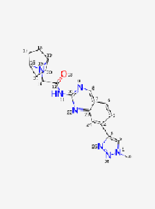 Cn1cc(-c2ccc3cnc(NC(=O)CN4C5CCC4CC5)nc3c2)nn1